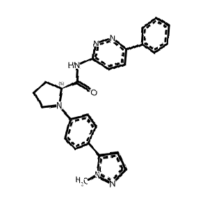 Cn1nccc1-c1ccc(N2CCC[C@H]2C(=O)Nc2ccc(-c3ccccc3)nn2)cc1